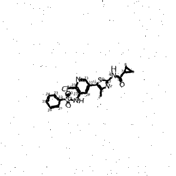 Cc1nc(NC(=O)C2CC2)sc1-c1cnc(Cl)c(NS(=O)(=O)c2ccccc2)c1